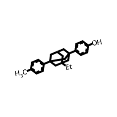 CCC12CC3CC(c4ccc(C)cc4)(C1)CC(c1ccc(O)cc1)(C3)C2